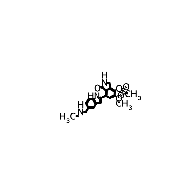 CCNCc1ccc2[nH]c(-c3cc(OC)c(OS(C)(=O)=O)c4c3C(=O)NC4)cc2c1